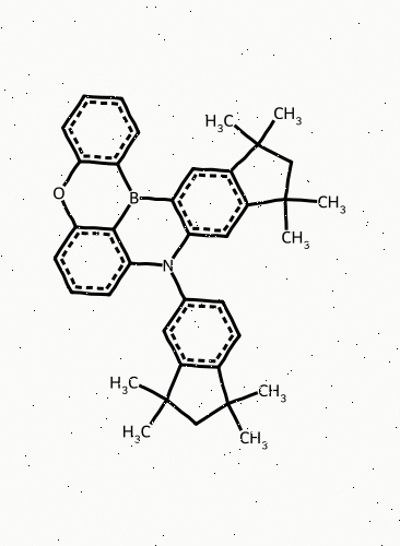 CC1(C)CC(C)(C)c2cc(N3c4cc5c(cc4B4c6ccccc6Oc6cccc3c64)C(C)(C)CC5(C)C)ccc21